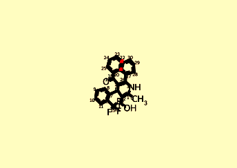 CC1=C(C(=O)O)C(c2ccccc2C(F)(F)F)C(C(=O)c2ccccc2)=C(c2ccccc2)N1